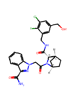 NC(=O)c1nn(CC(=O)N2[C@@H]3CC[C@@H](C3)[C@H]2C(=O)NCc2cc(CO)cc(Cl)c2F)c2ccccc12